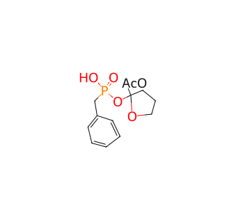 CC(=O)OC1(OP(=O)(O)Cc2ccccc2)CCCO1